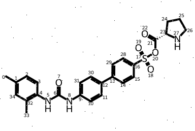 Cc1ccc(NC(=O)Nc2ccc(-c3ccc(S(=O)(=O)OC(=O)[C@@H]4CCCN4)cc3)cc2)c(C)c1